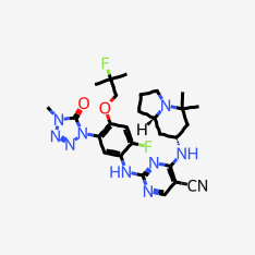 Cn1nnn(-c2cc(Nc3ncc(C#N)c(N[C@@H]4C[C@@H]5CCCN5C(C)(C)C4)n3)c(F)cc2OCC(C)(C)F)c1=O